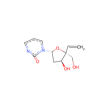 C=C[C@]1(CO)O[C@@H](n2cccnc2=O)C[C@@H]1O